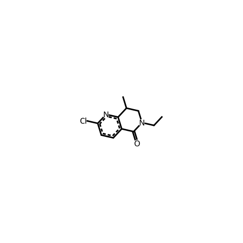 CCN1CC(C)c2nc(Cl)ccc2C1=O